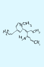 C=C/C=C(N)/C(C=C)=C1\C=C(C=C)C=CN1C